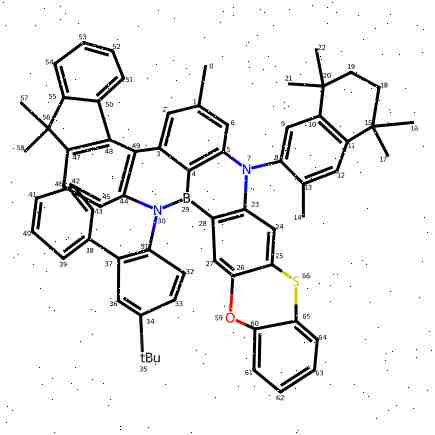 Cc1cc2c3c(c1)N(c1cc4c(cc1C)C(C)(C)CCC4(C)C)c1cc4c(cc1B3N(c1ccc(C(C)(C)C)cc1-c1ccccc1)c1ccc3c(c1-2)-c1ccccc1C3(C)C)Oc1ccccc1S4